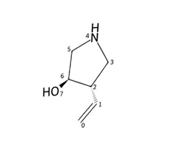 C=C[C@H]1CNC[C@@H]1O